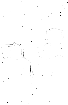 C#C[C@@H](c1ccccc1)N(CCC)Cc1ccccc1